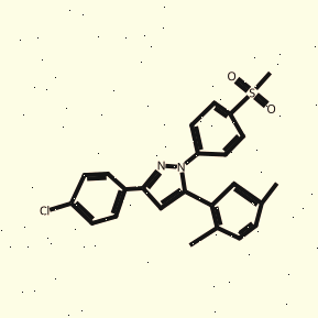 Cc1ccc(C)c(-c2cc(-c3ccc(Cl)cc3)nn2-c2ccc(S(C)(=O)=O)cc2)c1